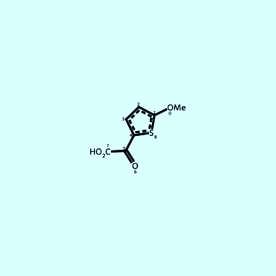 COc1ccc(C(=O)C(=O)O)s1